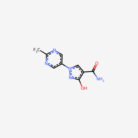 NC(=O)c1cn(-c2cnc(C(F)(F)F)nc2)nc1O